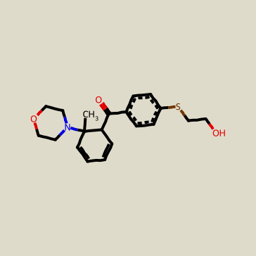 CC1(N2CCOCC2)C=CC=CC1C(=O)c1ccc(SCCO)cc1